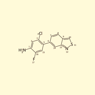 Nc1cc(Cl)c(-c2ccc3csnc3c2)cc1F